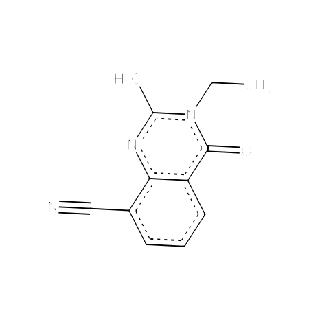 CCn1c(C)nc2c(C#N)cccc2c1=O